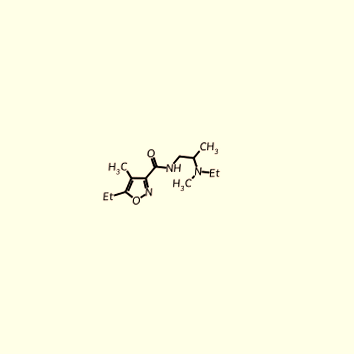 CCc1onc(C(=O)NCC(C)N(C)CC)c1C